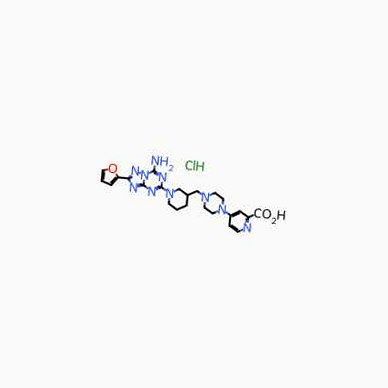 Cl.Nc1nc(N2CCCC(CN3CCN(c4ccnc(C(=O)O)c4)CC3)C2)nc2nc(-c3ccco3)nn12